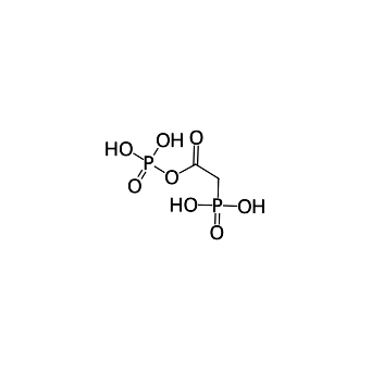 O=C(CP(=O)(O)O)OP(=O)(O)O